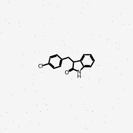 O=C1Nc2ccccc2C1Cc1ccc(Cl)cc1